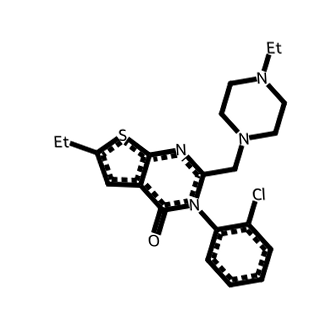 CCc1cc2c(=O)n(-c3ccccc3Cl)c(CN3CCN(CC)CC3)nc2s1